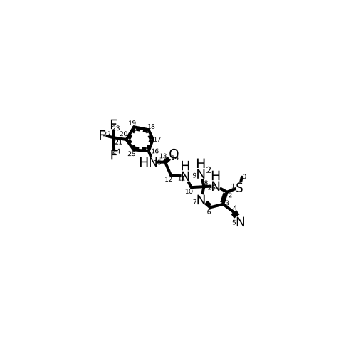 CSC1=C(C#N)C=NC(N)(CNCC(=O)Nc2cccc(C(F)(F)F)c2)N1